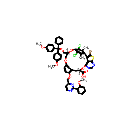 COc1ccc(C(OC[C@@H]2COc3ccc(OCc4ccnc(-c5ccccc5OC)n4)c(c3)C[C@H](C(=O)O)Oc3ncnc4sc(Br)c(c34)-c3c(C)c(Cl)c(c(Cl)c3C)O2)(c2ccccc2)c2ccc(OC)cc2)cc1